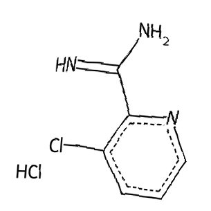 Cl.N=C(N)c1ncccc1Cl